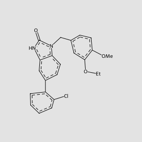 CCOc1cc(Cn2c(=O)[nH]c3cc(-c4ccccc4Cl)ccc32)ccc1OC